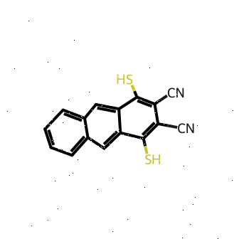 N#Cc1c(C#N)c(S)c2cc3ccccc3cc2c1S